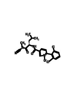 CC(C)C[C@H](NC(=O)c1ccc(-c2c(Cl)cccc2Cl)[n+]([O-])c1)C(=O)N(C)C#N